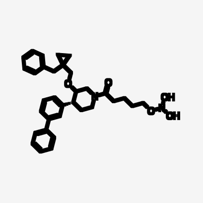 O=C(CCCCON(O)O)N1CC[C@H](c2cccc(-c3ccccc3)c2)C(OCC2(Cc3ccccc3)CC2)C1